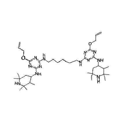 C=CCOc1nc(NCCCCCCNc2nc(NC3CC(C)(C)NC(C)(C)C3C)nc(OCC=C)n2)nc(NC2CC(C)(C)NC(C)(C)C2C)n1